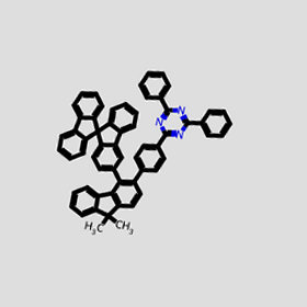 CC1(C)c2ccccc2-c2c1ccc(-c1ccc(-c3nc(-c4ccccc4)nc(-c4ccccc4)n3)cc1)c2-c1ccc2c(c1)-c1ccccc1C21c2ccccc2-c2ccccc21